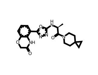 C[C@H](Nc1nnc(-c2cccc3c2NC(=O)CO3)o1)C(=O)N1CCC2(CC1)CC2